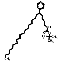 CCCCCCCC/C=C/CCCCCCCCC(CCCCNC(=O)OC(C)(C)C)c1ccncc1